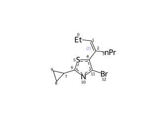 CC/C=C(/CCC)c1sc(C2CC2)nc1Br